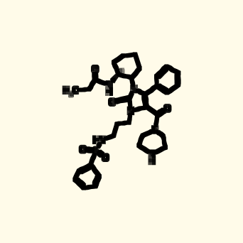 CCC(=O)N[C@H]1CCCCC1n1c(-c2ccccc2)c(C(=O)N2CCNCC2)n(CCCNS(=O)(=O)c2ccccc2)c1=O